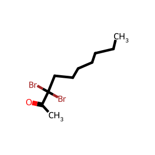 CCCCCCCC(Br)(Br)C(C)=O